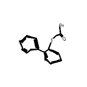 CCC(C)C(=O)Sc1ccccc1-c1ccccc1